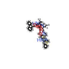 CC[C@H](C)[C@@H]([C@@H](CC(=O)N1CCC[C@H]1[C@H](OC)[C@@H](C)C(=S)N[C@@H](Cc1ccccc1)c1nccs1)OC)N(C)C(=O)[C@@H](NC(=O)OCC1c2ccccc2-c2ccccc21)C(C)C